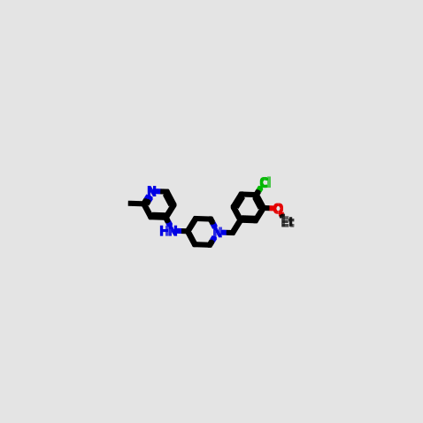 CCOc1cc(CN2CCC(Nc3ccnc(C)c3)CC2)ccc1Cl